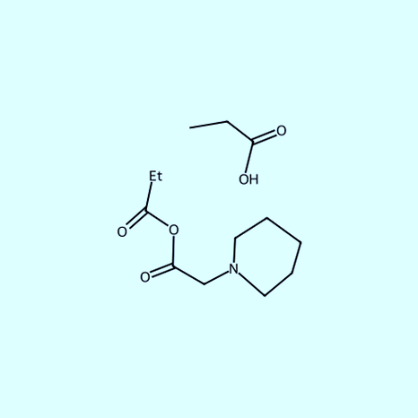 CCC(=O)O.CCC(=O)OC(=O)CN1CCCCC1